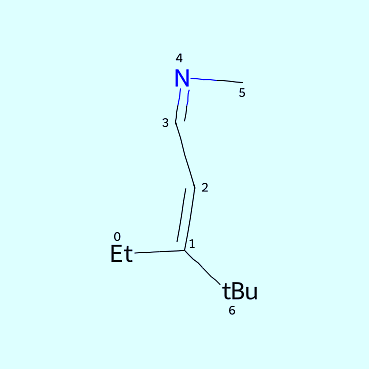 CC/C(=C\C=N/C)C(C)(C)C